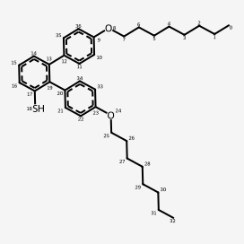 CCCCCCCCOc1ccc(-c2cccc(S)c2-c2ccc(OCCCCCCCC)cc2)cc1